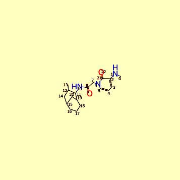 CNc1cccn(CC(=O)NC2C(C)CC3CCCC2C3)c1=O